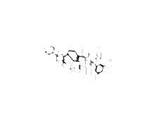 NC[C@@H](NC(=O)c1ccc(-c2nc(C3CCOCC3)cnc2N)cc1F)c1cc(F)cc(Cl)c1